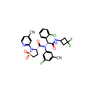 N#Cc1cc(F)cc(N(C(=O)[C@@H]2CCS(=O)(=O)N2c2cc(C#N)ccn2)[C@@H](C(=O)NC2CC(F)(F)C2)c2ccccc2Cl)c1